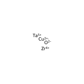 [Cu+2].[O-2].[Ta+5].[Zr+4]